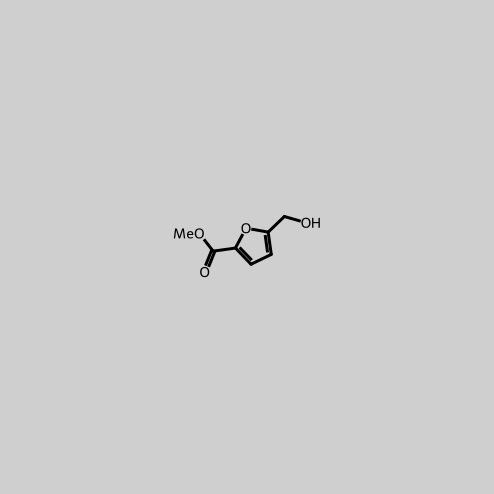 COC(=O)c1ccc(CO)o1